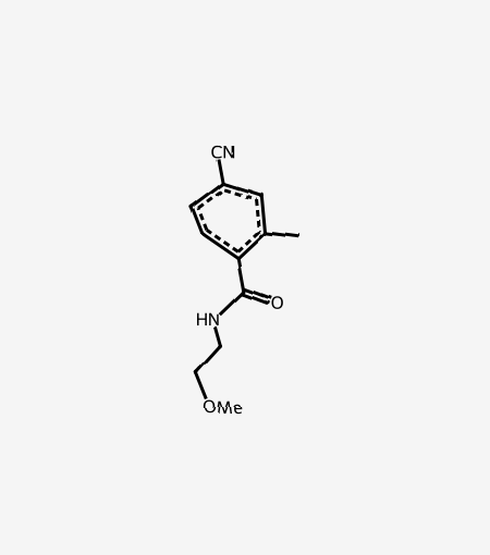 COCCNC(=O)c1ccc(C#N)cc1C